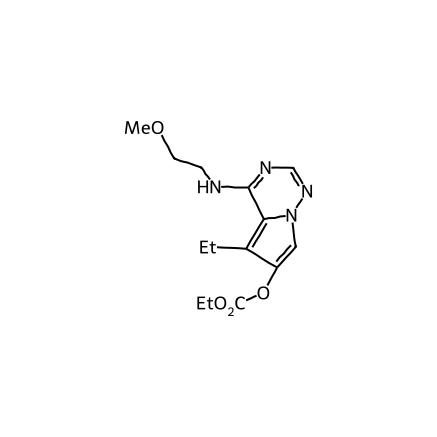 CCOC(=O)Oc1cn2ncnc(NCCOC)c2c1CC